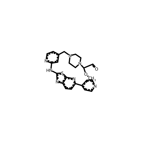 COC(C=O)N1CCN(Cc2ccnc(Nc3nc4ccc(-c5ccncc5)nc4s3)c2)CC1